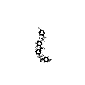 CCc1ccc(NS(=O)(=O)c2ccc3oc4ccc(S(=O)(=O)Nc5ccc(CC)cc5)cc4c(=O)c3c2)cc1